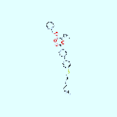 CCCCCCSc1ccc(-c2ccc(C(=O)O[C@@H](C)C(=O)OCc3ccccc3)cc2)cc1